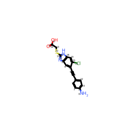 Nc1ccc(C#Cc2cc3nc(SCC(=O)O)[nH]c3cc2Cl)cc1